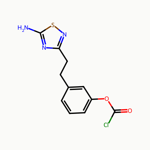 Nc1nc(CCc2cccc(OC(=O)Cl)c2)ns1